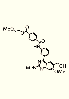 CNc1nc(-c2cccc(NC(=O)c3ccc(C(=O)OCCOC)cc3)c2)c2cc(CO)c(OC)cc2n1